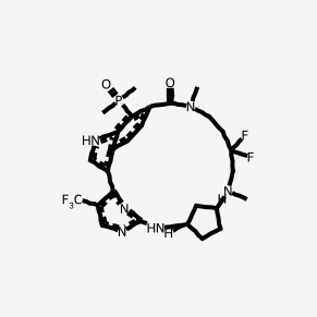 CN1CCC(F)(F)CN(C)[C@H]2CC[C@@H](C2)Nc2ncc(C(F)(F)F)c(n2)-c2c[nH]c3c(P(C)(C)=O)c(ccc23)C1=O